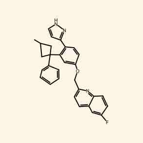 CC1CC(c2ccccc2)(c2cc(OCc3ccc4cc(F)ccc4n3)ccc2-c2cc[nH]n2)C1